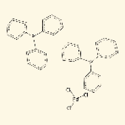 [Cl][Pd]([Cl])[Cl].c1ccc(P(c2ccccc2)c2ccccc2)cc1.c1ccc(P(c2ccccc2)c2ccccc2)cc1